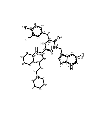 O=C(NCc1cnc2[nH]cc(Cl)cc1-2)[C@H](Cc1ccc(F)c(F)c1)NC(=O)[C@@H](CCCCN1CCCCC1)NC1CCCCC1